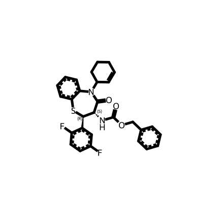 O=C(N[C@H]1C(=O)N(C2C=CCCC2)c2ccccc2S[C@@H]1c1cc(F)ccc1F)OCc1ccccc1